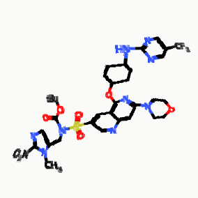 Cn1c(CN(C(=O)OC(C)(C)C)S(=O)(=O)c2cnc3cc(N4CCOCC4)nc(OC4CCC(Nc5ncc(C(F)(F)F)cn5)CC4)c3c2)cnc1[N+](=O)[O-]